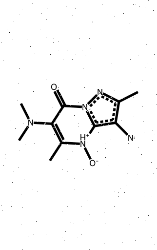 CC1=C(N(C)C)C(=O)n2nc(C)c([N])c2[NH+]1[O-]